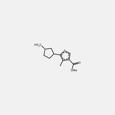 COC(=O)c1csc(C2CCN(C(=O)O)C2)c1C